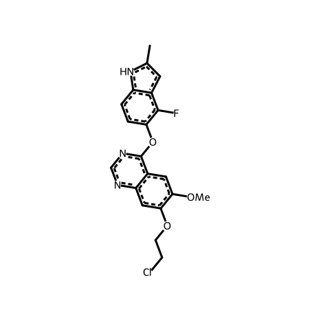 COc1cc2c(Oc3ccc4[nH]c(C)cc4c3F)ncnc2cc1OCCCl